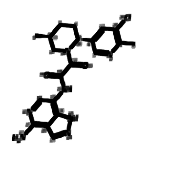 Cc1ncc([C@H]2CC[C@H](C)CN2C(=O)C(=O)Nc2cnc(N)c3cn[nH]c23)cc1Cl